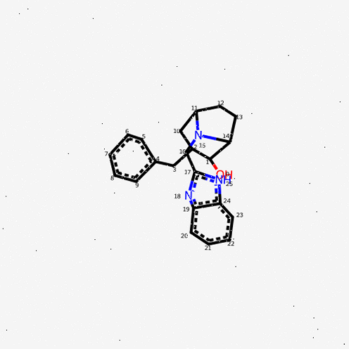 OC1C(Cc2ccccc2)CC2CCC1N2Cc1nc2ccccc2[nH]1